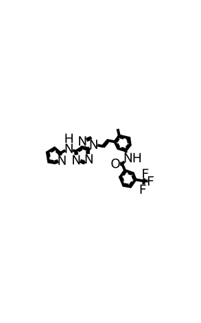 Cc1ccc(NC(=O)c2cccc(C(F)(F)F)c2)cc1C=Cn1cnc2c(Nc3ccccn3)ncnc21